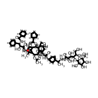 CC(=O)O[C@H]1C(=O)[C@]2(C)[C@@H](OC(=O)Nc3ccc(C(C)NNC(=O)[C@H](O)[C@H](O)[C@H](OC4O[C@H](CO)[C@H](O)[C@H](O)[C@H]4O)[C@H](O)CO)cc3)C[C@H]3OC[C@@]3(OC(C)=O)[C@H]2[C@H](OC(=O)c2ccccc2)[C@]2(O)C[C@H](OC(=O)[C@H](O)[C@@H](NC(=O)c3ccccc3)c3ccccc3)C(C)=C1C2(C)C